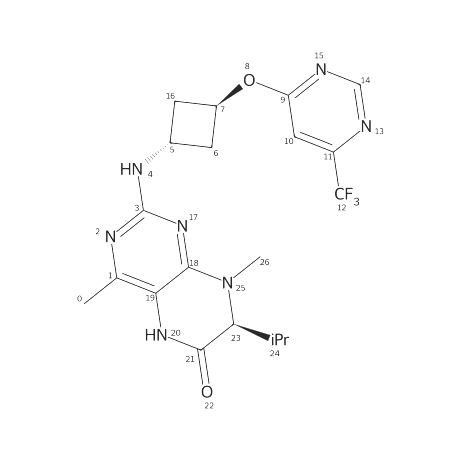 Cc1nc(N[C@H]2C[C@H](Oc3cc(C(F)(F)F)ncn3)C2)nc2c1NC(=O)[C@H](C(C)C)N2C